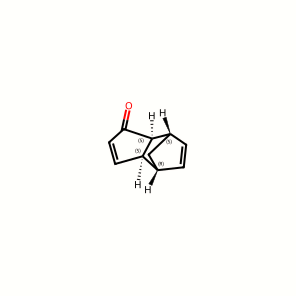 O=C1C=C[C@H]2[C@@H]1[C@@H]1C=C[C@H]2C1